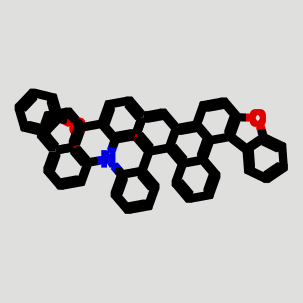 c1ccc(-c2ccccc2N(c2ccccc2-c2cccc3c4ccc5oc6ccccc6c5c4c4ccccc4c23)c2cccc3c2oc2ccccc23)cc1